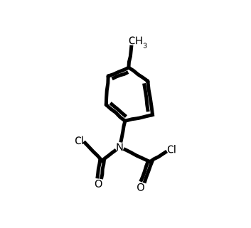 Cc1ccc(N(C(=O)Cl)C(=O)Cl)cc1